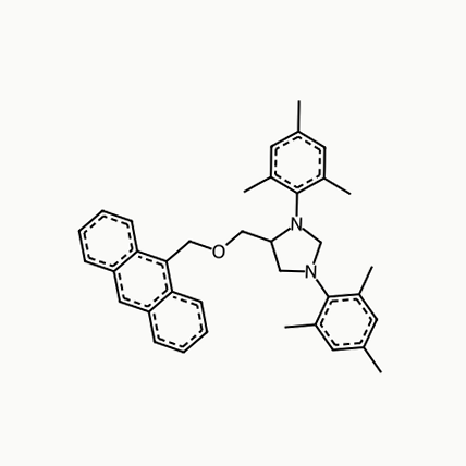 Cc1cc(C)c(N2CC(COCc3c4ccccc4cc4ccccc34)N(c3c(C)cc(C)cc3C)C2)c(C)c1